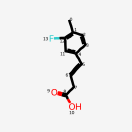 Cc1ccc(/C=C/CC(=O)O)cc1F